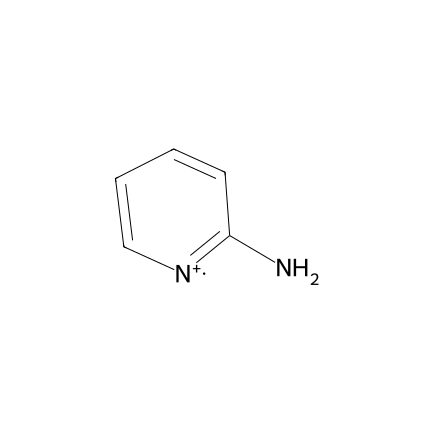 NC1=[N+]C=CC=C1